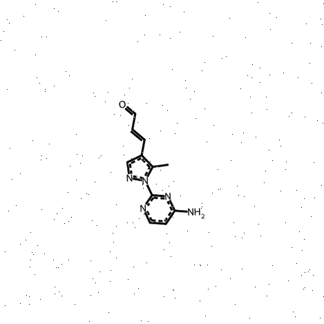 Cc1c(/C=C/C=O)cnn1-c1nccc(N)n1